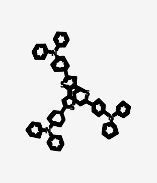 C1=CC(C2=CC3=c4sc(-c5ccc(N(c6ccccc6)c6ccccc6)cc5)cc4=C4CC3(C=C(c3ccc(N(c5ccccc5)c5ccccc5)cc3)S4)S2)CC=C1N(c1ccccc1)c1ccccc1